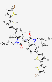 CCCCCCCCC(CCCCCC)CN1C(=O)/C(=C2/C(=O)N(CC(CCCCCC)CCCCCCCC)c3cc(-c4cc(C)c(-c5ccc(Br)s5)s4)ccc32)c2ccc(-c3cc(C)c(-c4ccc(Br)s4)s3)cc21